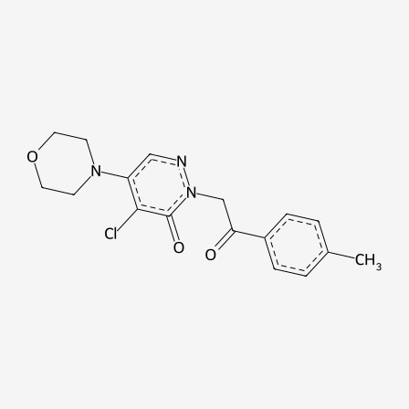 Cc1ccc(C(=O)Cn2ncc(N3CCOCC3)c(Cl)c2=O)cc1